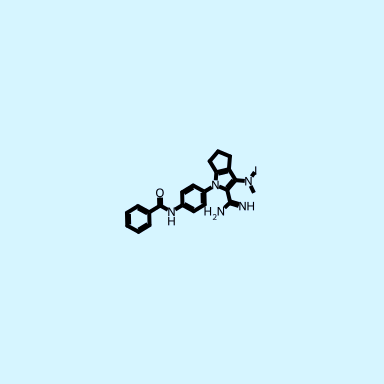 CN(I)c1c2c(n(-c3ccc(NC(=O)c4ccccc4)cc3)c1C(=N)N)CCC2